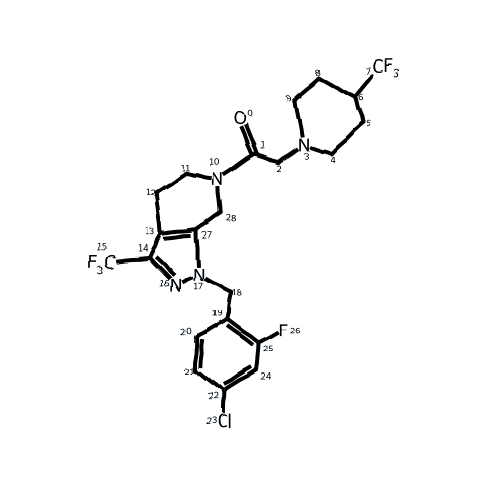 O=C(CN1CCC(C(F)(F)F)CC1)N1CCc2c(C(F)(F)F)nn(Cc3ccc(Cl)cc3F)c2C1